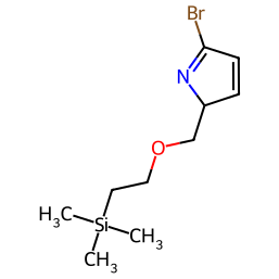 C[Si](C)(C)CCOCC1C=CC(Br)=N1